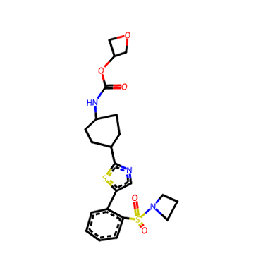 O=C(NC1CCC(c2ncc(-c3ccccc3S(=O)(=O)N3CCC3)s2)CC1)OC1COC1